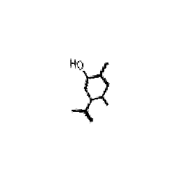 C=C(C)C1CC(O)C(C)CC1C